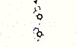 C=N/C=C(F)\C(=N/CNc1ccc2c(c1)OCC1CN(C3CC3)CCN21)c1cc(F)c2nc(C)n(C(C)C)c2c1